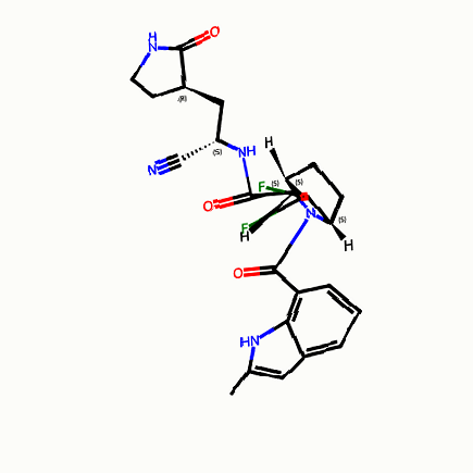 Cc1cc2cccc(C(=O)N3[C@H]4CC[C@@H]([C@H]3C(=O)N[C@H](C#N)C[C@H]3CCNC3=O)C(F)(F)C4)c2[nH]1